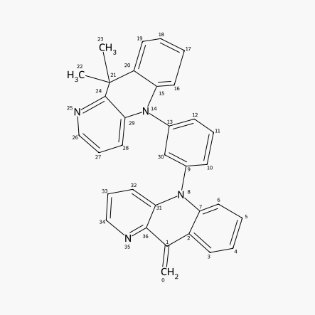 C=C1c2ccccc2N(c2cccc(N3c4ccccc4C(C)(C)c4ncccc43)c2)c2cccnc21